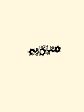 N[C@@H](Cc1ccccc1)C(=O)NC1CCCN(S(=O)(=O)c2ccccn2)CC1O